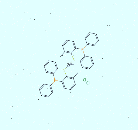 Cc1cccc(P(c2ccccc2)c2ccccc2)c1[S][Zr+2][S]c1c(C)cccc1P(c1ccccc1)c1ccccc1.[Cl-].[Cl-]